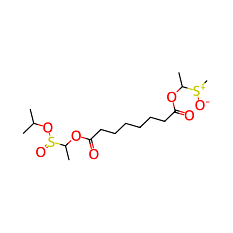 CC(C)OS(=O)C(C)OC(=O)CCCCCCC(=O)OC(C)[S+](C)[O-]